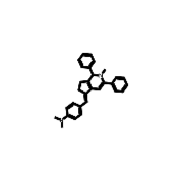 CN(C)c1ccc(C=C2CCC3=C2C=C(c2ccccc2)N(C)C3c2ccccc2)cc1